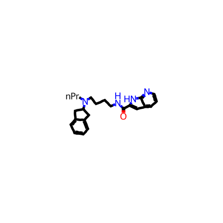 CCCN(CCCCNC(=O)c1cc2cccnc2[nH]1)C1Cc2ccccc2C1